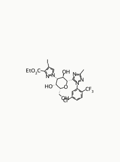 CCOC(=O)c1nn([C@H]2[C@@H](O)[C@@H](CO)O[C@@H](c3nc(C)nn3-c3cc(Cl)ccc3C(F)(F)F)[C@@H]2O)cc1I